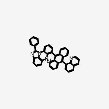 CCN1c2c(-c3c4ccccc4c(-c4cccc5cccnc45)c4ccccc34)cccc2-n2c(-c3ccccc3)nc3cccc1c32